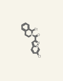 CCC1c2ccccc2CCN1C(=O)c1cc2ccc(Cl)cn2n1